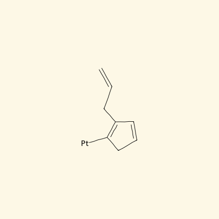 C=CCC1=[C]([Pt])CC=C1